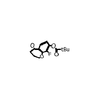 CC(C)(C)C(=O)Oc1ccc2c(c1F)OCCCC2=O